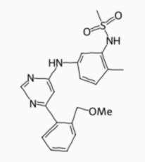 COCc1ccccc1-c1cc(Nc2ccc(C)c(NS(C)(=O)=O)c2)ncn1